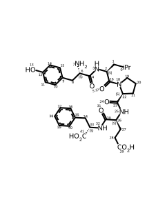 CC(C)C[C@H](NC(=O)[C@@H](N)Cc1ccc(O)cc1)C(=O)N1CCC[C@H]1C(=O)N[C@@H](CCC(=O)O)C(=O)N[C@@H](Cc1ccccc1)C(=O)O